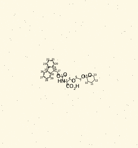 O=C(NC(COCCOC1CCCCO1)C(=O)O)OCC1c2ccccc2-c2ccccc21